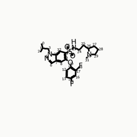 CC(C)Cn1ncc2cc(Oc3ccc(F)cc3F)c(S(=O)(=O)NCCC3CCCN3C)cc21